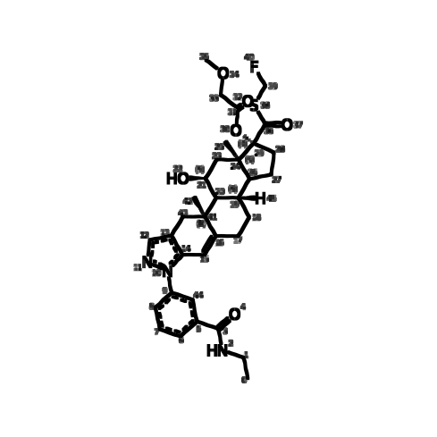 CCNC(=O)c1cccc(-n2ncc3c2C=C2CC[C@@H]4C([C@@H](O)C[C@@]5(C)C4CC[C@]5(OC(=O)COC)C(=O)SCF)[C@@]2(C)C3)c1